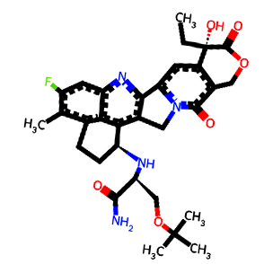 CC[C@@]1(O)C(=O)OCc2c1cc1n(c2=O)Cc2c-1nc1cc(F)c(C)c3c1c2[C@@H](N[C@@H](COC(C)(C)C)C(N)=O)CC3